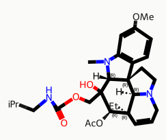 CC[C@]12C=CCN3CC[C@@]4(c5ccc(OC)cc5N(C)[C@H]4C(O)(COC(=O)NCC(C)C)[C@@H]1OC(C)=O)[C@@H]32